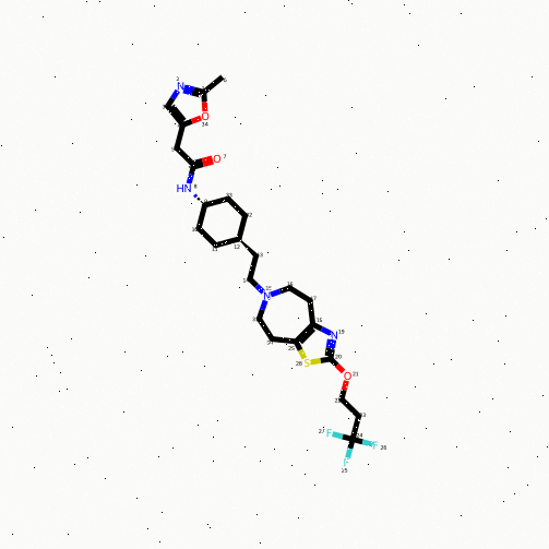 Cc1ncc(CC(=O)N[C@H]2CC[C@H](CCN3CCc4nc(OCCC(F)(F)F)sc4CC3)CC2)o1